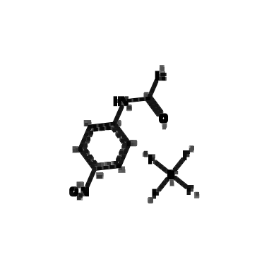 F[B-](F)(F)F.[CH2]CC(=O)Nc1ccc([N+](=O)[O-])cc1